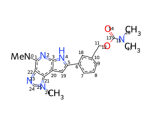 CNc1nc2[nH]c(-c3cccc(COC(=O)N(C)C)c3)cc2c2c1ncn2C